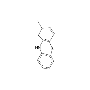 CC1C=CC2=C(C1)Nc1ccccc1S2